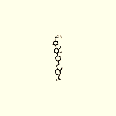 C=Cc1ccc(-c2ccc(C3CCC(CCC4CCC(C5CO5)C=C4F)CC3)c(F)c2F)cc1